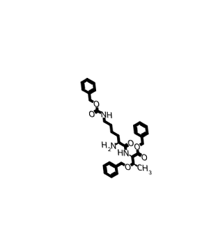 C[C@@H](OCc1ccccc1)[C@H](NC(=O)[C@@H](N)CCCCNC(=O)OCc1ccccc1)C(=O)OCc1ccccc1